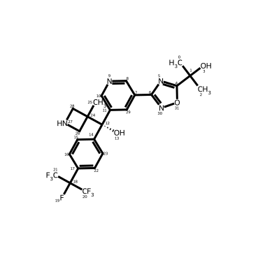 CC(C)(O)c1nc(-c2cncc([C@@](O)(c3ccc(C(F)(C(F)(F)F)C(F)(F)F)cc3)C3(C)CNC3)c2)no1